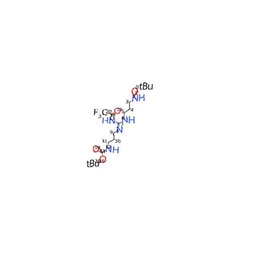 CC(C)(C)ONCCCN/C(=N/CCCNC(=O)OC(C)(C)C)NC(=O)C(F)(F)F